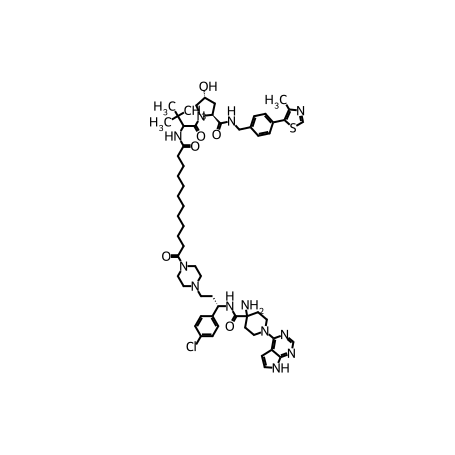 Cc1ncsc1-c1ccc(CNC(=O)[C@@H]2C[C@@H](O)CN2C(=O)C(NC(=O)CCCCCCCCCCC(=O)N2CCN(CC[C@H](NC(=O)C3(N)CCN(c4ncnc5[nH]ccc45)CC3)c3ccc(Cl)cc3)CC2)C(C)(C)C)cc1